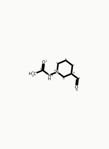 CC(=O)NN1CCCC([C]=O)C1